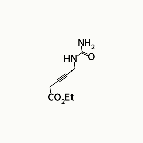 CCOC(=O)CC#CCNC(N)=O